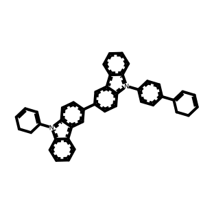 C1=CCCC(c2ccc(-n3c4ccccc4c4cc(-c5ccc6c(c5)c5ccccc5n6C5=CC=CCC5)ccc43)cc2)=C1